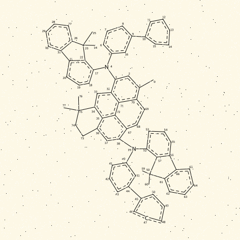 Cc1cc(N(c2cccc(-c3ccccc3)c2)c2cccc3c2C(C)(C)c2ccccc2-3)c2cc3c4c(cc(N(c5cccc(-c6ccccc6)c5)c5cccc6c5C(C)(C)c5ccccc5-6)c5ccc1c2c54)CCC3(C)C